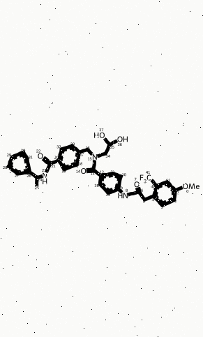 COc1ccc(CC(=O)Nc2ccc(C(=O)N(Cc3ccc(C(=O)NC(C)c4ccccc4)cc3)CC(O)O)cc2)c(C(F)(F)F)c1